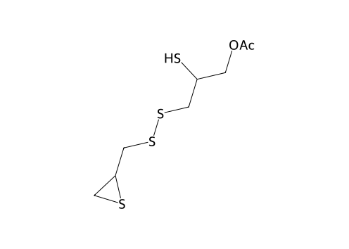 CC(=O)OCC(S)CSSCC1CS1